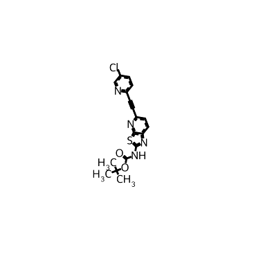 CC(C)(C)OC(=O)Nc1nc2ccc(C#Cc3ccc(Cl)cn3)nc2s1